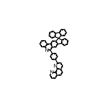 c1ccc2c(c1)-c1ccccc1C21c2ccccc2-c2cc3c(-c4ccc(-c5ccc6ccc7cccnc7c6n5)cc4)nc4ccccc4c3cc21